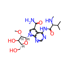 CNC(C(=O)Nc1ncnc2c1c(C(N)=O)cn2[C@@H]1O[C@H](CO)C(O)[C@@H]1OC)C(C)C